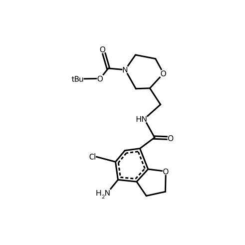 CC(C)(C)OC(=O)N1CCOC(CNC(=O)c2cc(Cl)c(N)c3c2OCC3)C1